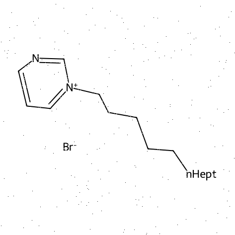 CCCCCCCCCCCC[n+]1cccnc1.[Br-]